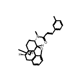 Cc1cccc(C=CC(=O)N(C)[C@H]2CCC3(O)[C@H]4Cc5cccc6c5[C@@]3(CCN4C)[C@H]2O6)c1